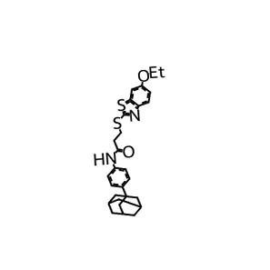 CCOc1ccc2nc(SCCC(=O)Nc3ccc(C45CC6CC(CC(C6)C4)C5)cc3)sc2c1